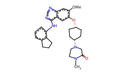 COc1cc2ncnc(Nc3cccc4c3CCC4)c2cc1O[C@H]1CC[C@@H](N2CCN(C)C(=O)C2)CC1